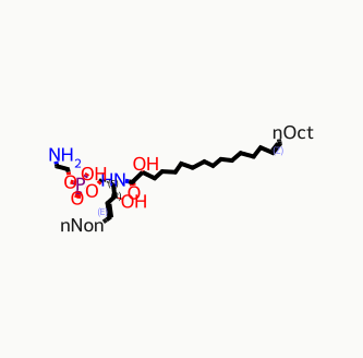 CCCCCCCC/C=C\CCCCCCCCCCCCC(O)C(=O)N[C@@H](COP(=O)(O)OCCN)[C@H](O)/C=C/CCCCCCCCC